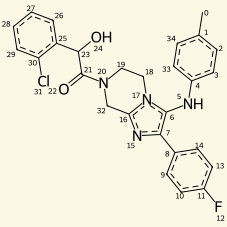 Cc1ccc(Nc2c(-c3ccc(F)cc3)nc3n2CCN(C(=O)C(O)c2ccccc2Cl)C3)cc1